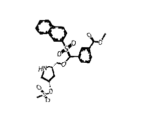 COC(=O)c1cccc(C(OC[C@@H]2C[C@H](OS(C)(=O)=O)CN2)S(=O)(=O)c2ccc3ccccc3c2)c1